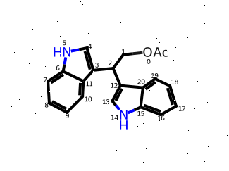 CC(=O)OCC(c1c[nH]c2ccccc12)c1c[nH]c2ccccc12